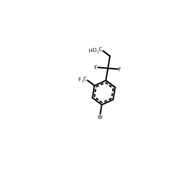 O=C(O)CC(F)(F)c1ccc(Br)cc1C(F)(F)F